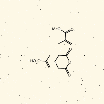 C=C(C)C(=O)O.C=C(C)C(=O)OC.O=C1CCCC(=O)O1